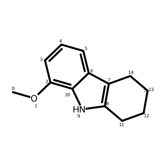 COc1cccc2c3c([nH]c12)CC[C]C3